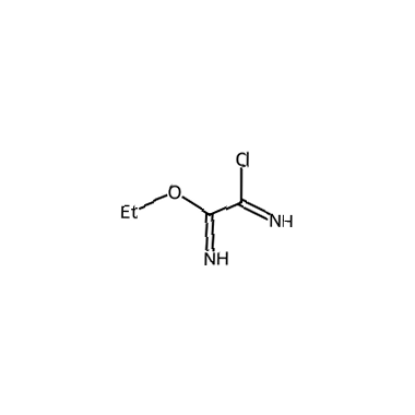 CCOC(=N)C(=N)Cl